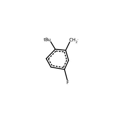 [CH2]c1cc(F)ccc1C(C)(C)C